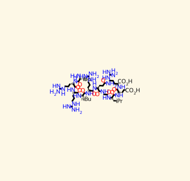 CC[C@H](C)[C@H](N)C(=O)N[C@@H](CCCNC(=N)N)C(=O)N[C@@H](CCCNC(=N)N)C(=O)N[C@H](C(=O)N[C@@H](CCCNC(=N)N)C(=O)N[C@@H](CCC(N)=O)C(=O)NCC(=O)N[C@@H](CC(C)C)C(=O)N[C@@H](CCC(=O)O)C(=O)N[C@@H](CCCNC(=N)N)C(=O)O)[C@@H](C)CC